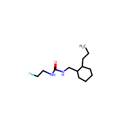 CCCC1CCCCC1CNC(=O)NCCF